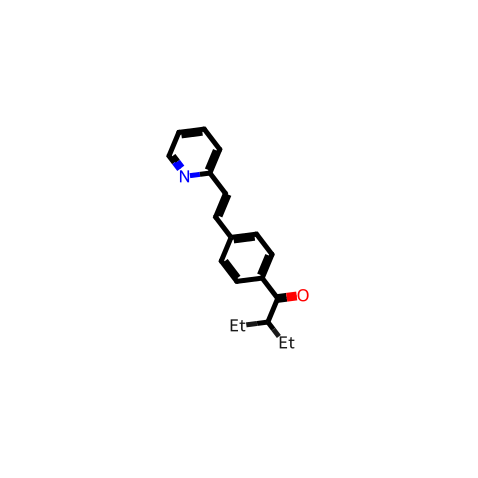 CCC(CC)C(=O)c1ccc(C=Cc2ccccn2)cc1